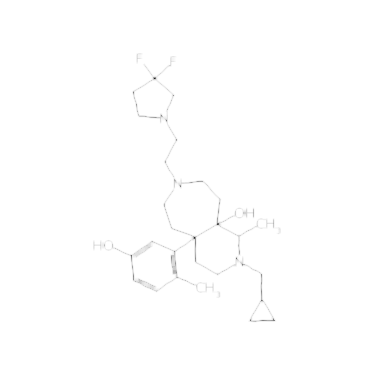 Cc1ccc(O)cc1C12CCN(CCN3CCC(F)(F)C3)CCC1(O)C(C)N(CC1CC1)CC2